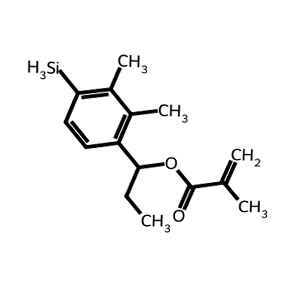 C=C(C)C(=O)OC(CC)c1ccc([SiH3])c(C)c1C